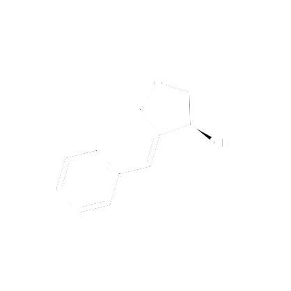 C[C@@H]1COC/C1=C\c1ccccc1